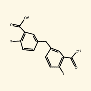 O=C(O)c1cc(Cc2ccc(I)c(C(=O)O)c2)ccc1F